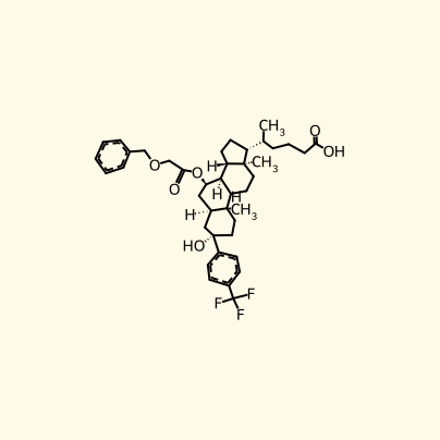 CC(CCCC(=O)O)[C@H]1CC[C@H]2[C@@H]3[C@H](OC(=O)COCc4ccccc4)C[C@@H]4C[C@](O)(c5ccc(C(F)(F)F)cc5)CC[C@]4(C)[C@H]3CC[C@]12C